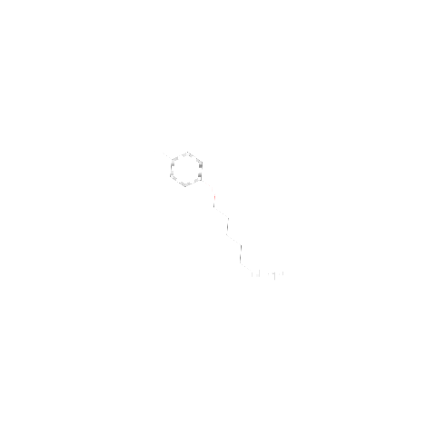 CCCCCCCCCCCCOc1ccc(C)cc1